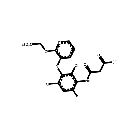 CCOC(=O)COc1ncccc1Oc1c(Cl)cc(F)c(NC(=O)CC(=O)C(F)(F)F)c1Cl